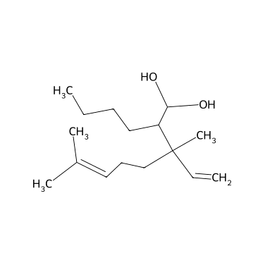 C=CC(C)(CCC=C(C)C)C(CCCC)C(O)O